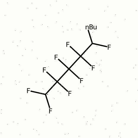 CCCCC(F)C(F)(F)C(F)(F)C(F)(F)[C](F)F